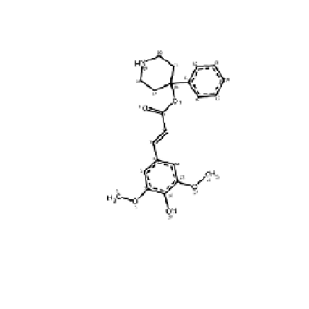 COc1cc(/C=C/C(=O)OC2(c3ccccc3)CCNCC2)cc(OC)c1O